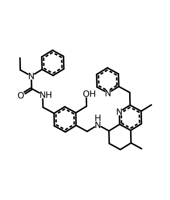 CCN(C(=O)NCc1ccc(CNC2CCC(C)c3cc(C)c(Cc4ccccn4)nc32)c(CO)c1)c1ccccc1